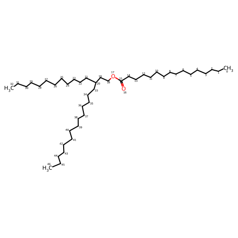 CCCCCCCCCCCCCCCC(=O)OCCC(CCCCCCCCCCCC)CCCCCCCCCCCCCC